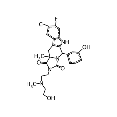 CN(CCO)CCN1C(=O)N2C(c3cccc(O)c3)c3[nH]c4cc(F)c(Cl)cc4c3CC2(C)C1=O